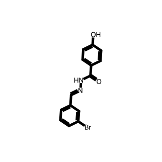 O=C(NN=Cc1cccc(Br)c1)c1ccc(O)cc1